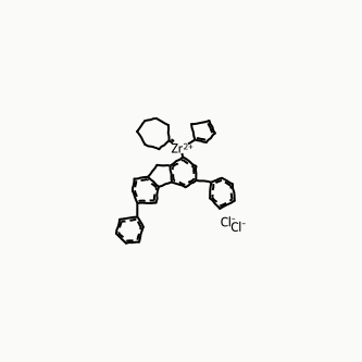 C1=CC[C]([Zr+2](=[C]2CCCCCC2)[c]2cc(-c3ccccc3)cc3c2Cc2ccc(-c4ccccc4)cc2-3)=C1.[Cl-].[Cl-]